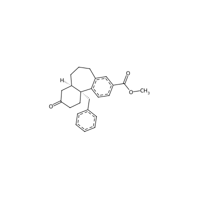 COC(=O)c1ccc2c(c1)CCC[C@@H]1CC(=O)CC[C@]21Cc1ccccc1